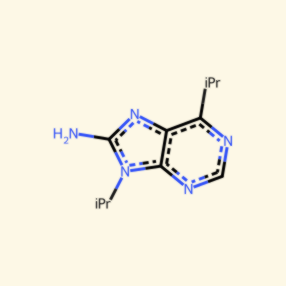 CC(C)c1ncnc2c1nc(N)n2C(C)C